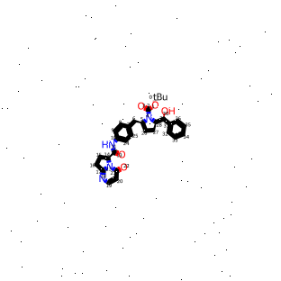 CC(C)(C)OC(=O)N1[C@H](Cc2ccc(NC(=O)[C@@H]3CCc4nccc(=O)n43)cc2)CC[C@@H]1[C@H](O)c1ccccc1